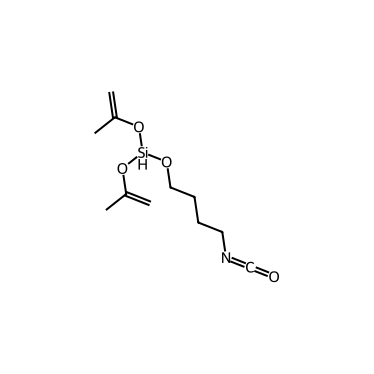 C=C(C)O[SiH](OCCCCN=C=O)OC(=C)C